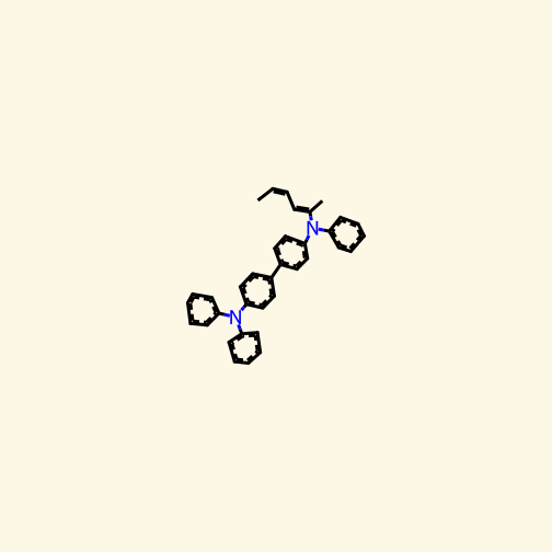 C/C=C\C=C(/C)N(c1ccccc1)c1ccc(-c2ccc(N(c3ccccc3)c3ccccc3)cc2)cc1